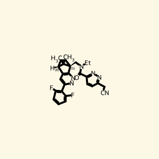 CCN(C[C@@]12CC[C@@H](c3cc(-c4c(F)cccc4F)nnc31)C2(C)C)C(=O)c1ccc(CC#N)nn1